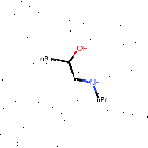 CCCCC(O)CNCCC